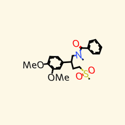 COc1ccc(C(CCS(C)(=O)=O)CN(C)C(=O)c2ccccc2)cc1OC